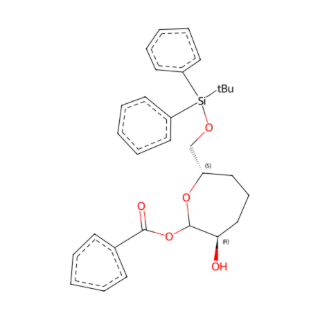 CC(C)(C)[Si](OC[C@@H]1CCC[C@@H](O)C(OC(=O)c2ccccc2)O1)(c1ccccc1)c1ccccc1